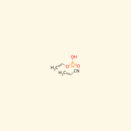 C=CC#N.C=CO[PH](=O)O